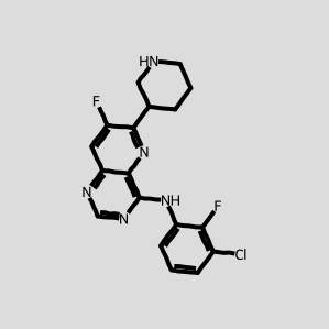 Fc1cc2ncnc(Nc3cccc(Cl)c3F)c2nc1C1CCCNC1